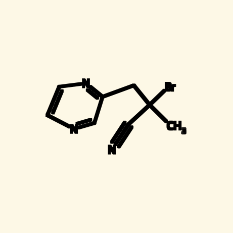 CC(Br)(C#N)Cc1cnccn1